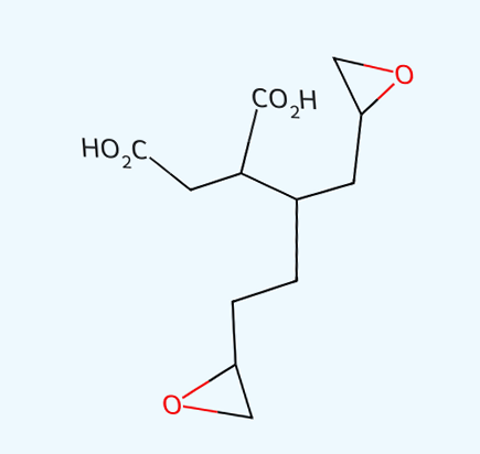 O=C(O)CC(C(=O)O)C(CCC1CO1)CC1CO1